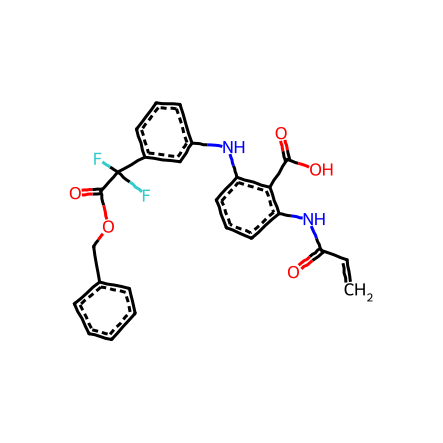 C=CC(=O)Nc1cccc(Nc2cccc(C(F)(F)C(=O)OCc3ccccc3)c2)c1C(=O)O